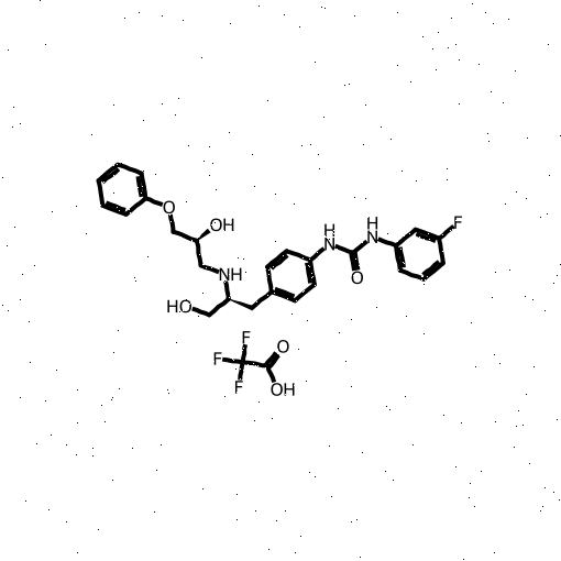 O=C(Nc1ccc(C[C@@H](CO)NC[C@H](O)COc2ccccc2)cc1)Nc1cccc(F)c1.O=C(O)C(F)(F)F